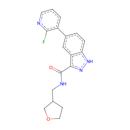 O=C(NCC1CCOC1)c1n[nH]c2ccc(-c3cccnc3F)cc12